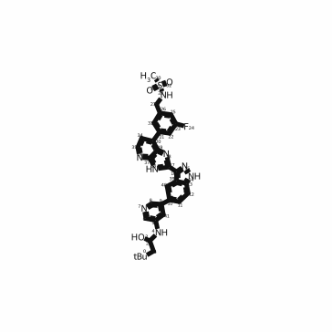 CC(C)(C)CC(O)Nc1cncc(-c2ccc3[nH]nc(-c4nc5c(-c6cc(F)cc(CNS(C)(=O)=O)c6)ccnc5[nH]4)c3c2)c1